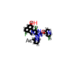 C#Cc1c(F)ccc2cc(O)cc(-c3ncc4c(N5CC6CCC(CC(C)=O)(C5)N6)nc(OC[C@@]56CCCN5C[C@H](F)C6)nc4c3F)c12